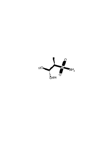 CO[C@H](O)[C@@H](C)S(N)(=O)=O